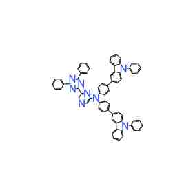 c1ccc(-c2nc(-c3ccccc3)nc(-c3cncc(-n4c5ccc(-c6ccc7c(c6)c6ccccc6n7-c6ccccc6)cc5c5cc(-c6ccc7c(c6)c6ccccc6n7-c6ccccc6)ccc54)n3)n2)cc1